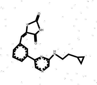 O=C1NC(=O)/C(=C\c2cccc(-c3cncc(NCCC4CC4)n3)c2)S1